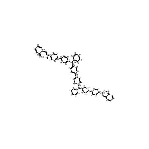 C/N=C1/C=CC=C/C1=N/Nc1ccc(-c2ccc(N(c3ccccc3)C3C=CC(c4ccc(N(c5ccccc5)c5ccc(-c6ccc(N/N=C7/C=CC=CC7=N)cc6)cc5)cc4)=CC3)cc2)cc1